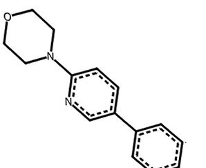 [c]1cccc(-c2ccc(N3CCOCC3)nc2)c1